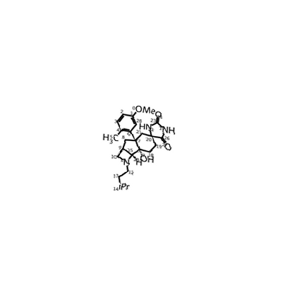 COc1ccc(C)c([C@]23CC4CN(CCC(C)C)[C@H]4[C@]2(O)CC[C@@]2(C3)NC(=O)NC2=O)c1